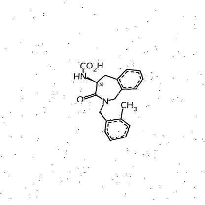 Cc1ccccc1CN1Cc2ccccc2C[C@H](NC(=O)O)C1=O